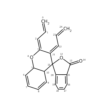 C=C/C=C1/OC2C=CC=CC2C2(OC(=O)c3ccccc32)/C1=C/C=C